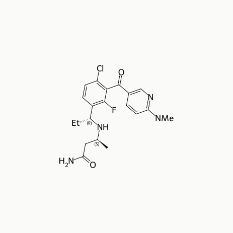 CC[C@@H](N[C@@H](C)CC(N)=O)c1ccc(Cl)c(C(=O)c2ccc(NC)nc2)c1F